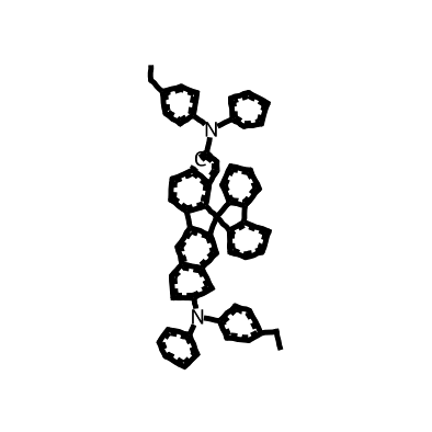 CCc1ccc(N(c2ccccc2)c2ccc3cc4c(cc3c2)C2(c3ccccc3-c3ccccc32)c2c-4ccc3cc(N(c4ccccc4)c4ccc(CC)cc4)ccc23)cc1